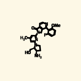 COc1cccc(F)c1-c1nccc2c1CN(c1cc(C)cc(N3CC[C@@H](N)[C@H]3CO)n1)C2=O